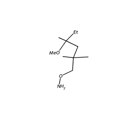 CCC(C)(CC(C)(C)CON)OC